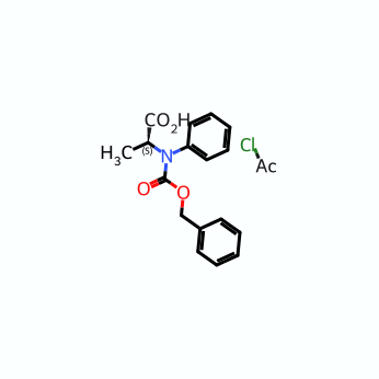 CC(=O)Cl.C[C@@H](C(=O)O)N(C(=O)OCc1ccccc1)c1ccccc1